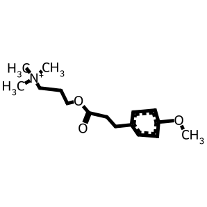 COc1ccc(CCC(=O)OCCC[N+](C)(C)C)cc1